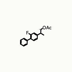 CC(=O)O[CH]C(C)c1ccc(-c2ccccc2)c(F)c1